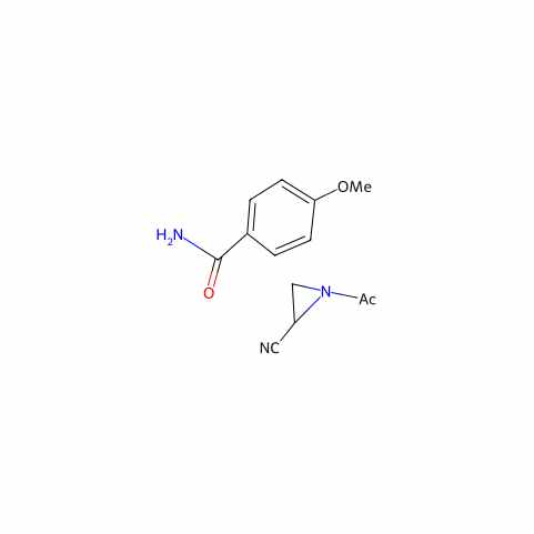 CC(=O)N1CC1C#N.COc1ccc(C(N)=O)cc1